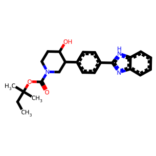 CCC(C)(C)OC(=O)N1CCC(O)C(c2ccc(-c3nc4ccccc4[nH]3)cc2)C1